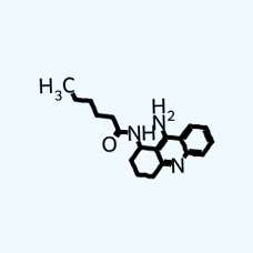 CCCCCC(=O)NC1CCCc2nc3ccccc3c(N)c21